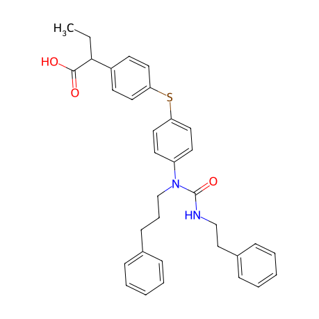 CCC(C(=O)O)c1ccc(Sc2ccc(N(CCCc3ccccc3)C(=O)NCCc3ccccc3)cc2)cc1